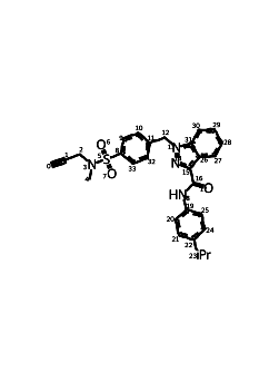 C#CCN(C)S(=O)(=O)c1ccc(Cn2nc(C(=O)Nc3ccc(C(C)C)cc3)c3ccccc32)cc1